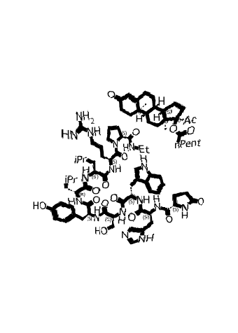 CCCCCC(=O)O[C@]1(C(C)=O)CC[C@H]2[C@@H]3CCC4=CC(=O)CC[C@]4(C)[C@H]3CC[C@@]21C.CCNC(=O)[C@@H]1CCCN1C(=O)[C@H](CCCNC(=N)N)NC(=O)[C@H](CC(C)C)NC(=O)[C@@H](CC(C)C)NC(=O)[C@H](Cc1ccc(O)cc1)NC(=O)[C@H](CO)NC(=O)[C@H](Cc1c[nH]c2ccccc12)NC(=O)[C@H](Cc1cnc[nH]1)NC(=O)[C@@H]1CCC(=O)N1